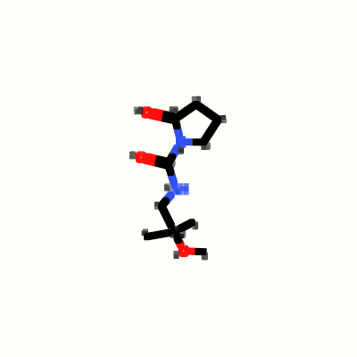 CO[Si](C)(C)CNC(=O)N1CCCC1=O